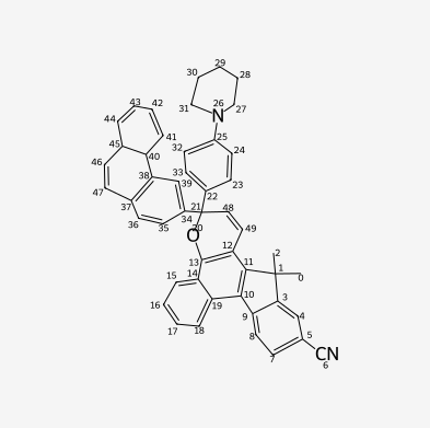 CC1(C)c2cc(C#N)ccc2-c2c1c1c(c3ccccc23)OC(c2ccc(N3CCCCC3)cc2)(c2ccc3c(c2)C2C=CC=CC2C=C3)C=C1